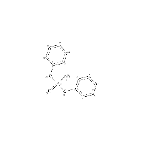 CCCP(=O)(Oc1ccccc1)Oc1ccccc1